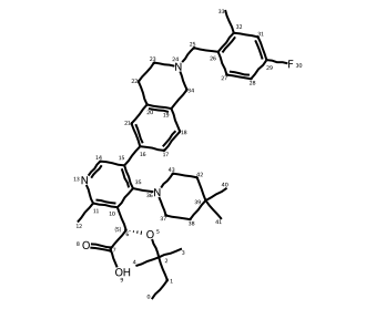 CCC(C)(C)O[C@H](C(=O)O)c1c(C)ncc(-c2ccc3c(c2)CCN(Cc2ccc(F)cc2C)C3)c1N1CCC(C)(C)CC1